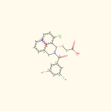 O=C(O)CC[C@@H](c1ccccc1Cl)N(Cc1cccnc1)C(=O)c1cc(F)cc(F)c1